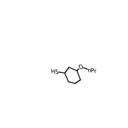 CCCOC1CCCC(S)C1